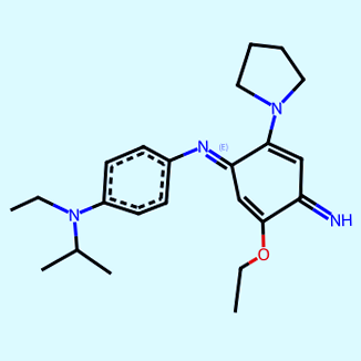 CCOC1=C/C(=N\c2ccc(N(CC)C(C)C)cc2)C(N2CCCC2)=CC1=N